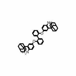 Nc1ccc(Oc2ccccc2-c2ccccc2Oc2ccc(N)c(C34CC5CC(CC(C5)C3)C4)c2)cc1C12CC3CC(CC(C3)C1)C2